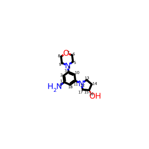 Nc1cc(N2CCOCC2)cc(N2CC[C@@H](O)C2)c1